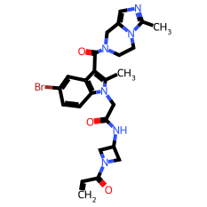 C=CC(=O)N1CC(NC(=O)Cn2c(C)c(C(=O)N3CCn4c(cnc4C)C3)c3cc(Br)ccc32)C1